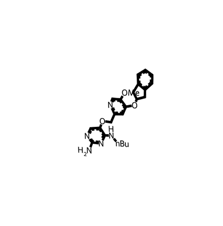 CCCCNc1nc(N)ncc1OCc1cc(OC2Cc3ccccc3C2)c(OC)cn1